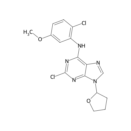 COc1ccc(Cl)c(Nc2nc(Cl)nc3c2ncn3C2CCCO2)c1